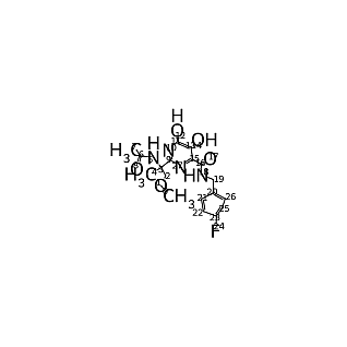 COCC(C)(NC(C)=O)c1nc(O)c(O)c(C(=O)NCc2ccc(F)cc2)n1